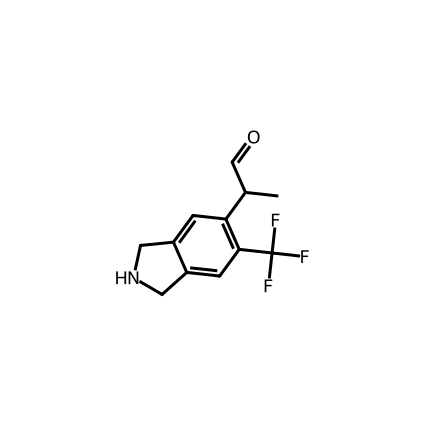 CC(C=O)c1cc2c(cc1C(F)(F)F)CNC2